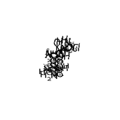 CN(C)c1cc(NC(=O)Nc2ccc(Cl)cc2[N+](=O)[O-])c(O)c2c1CC1CC3[C@H](N(C)C)C(O)=C(C(N)=O)C(=O)[C@@]3(O)C(O)=C1C2=O